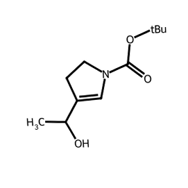 CC(O)C1=CN(C(=O)OC(C)(C)C)CC1